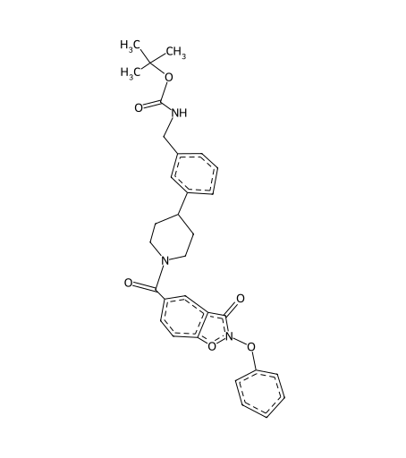 CC(C)(C)OC(=O)NCc1cccc(C2CCN(C(=O)c3ccc4on(Oc5ccccc5)c(=O)c4c3)CC2)c1